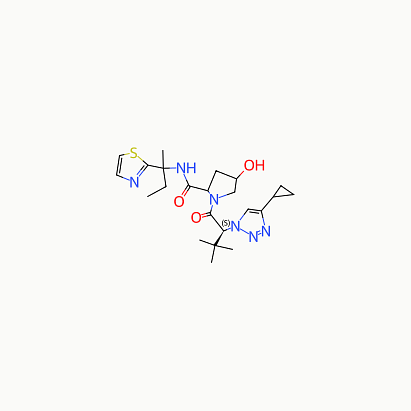 CCC(C)(NC(=O)C1CC(O)CN1C(=O)[C@@H](n1cc(C2CC2)nn1)C(C)(C)C)c1nccs1